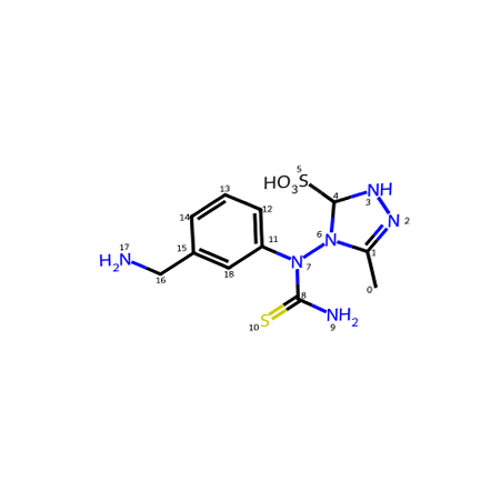 CC1=NNC(S(=O)(=O)O)N1N(C(N)=S)c1cccc(CN)c1